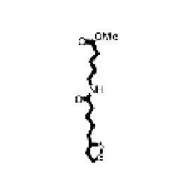 COC(=O)CCCCNC(=O)CCCCC1CCSS1